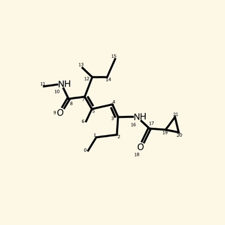 CCC/C(=C\C(C)=C(\C(=O)NC)C(C)CC)NC(=O)C1CC1